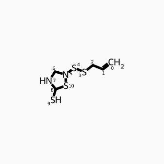 C=CCSSN1CNC(S)S1